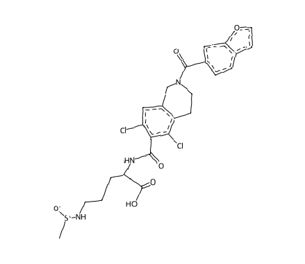 C[S+]([O-])NCCCC(NC(=O)c1c(Cl)cc2c(c1Cl)CCN(C(=O)c1ccc3ccoc3c1)C2)C(=O)O